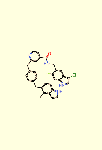 Cc1c(Cc2ccc(Cc3cc(C(=O)NCc4cc5c(Cl)c[nH]c5cc4F)ccn3)cc2)ccc2[nH]ccc12